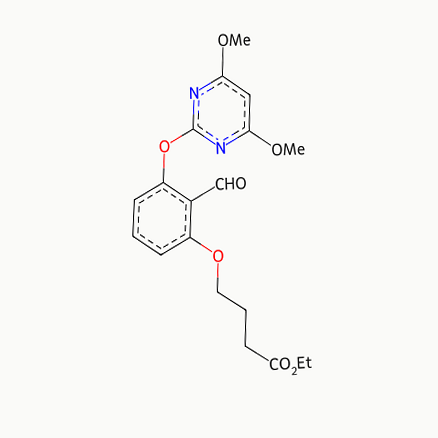 CCOC(=O)CCCOc1cccc(Oc2nc(OC)cc(OC)n2)c1C=O